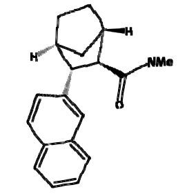 CNC(=O)[C@@H]1[C@H]2CC[C@@H](C2)[C@H]1c1ccc2ccccc2c1